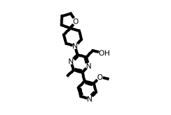 COc1cnccc1-c1nc(CO)c(N2CCC3(CCCO3)CC2)nc1C